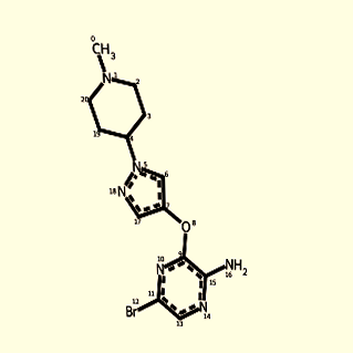 CN1CCC(n2cc(Oc3nc(Br)cnc3N)cn2)CC1